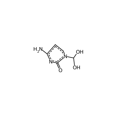 Nc1ccn(C(O)O)c(=O)n1